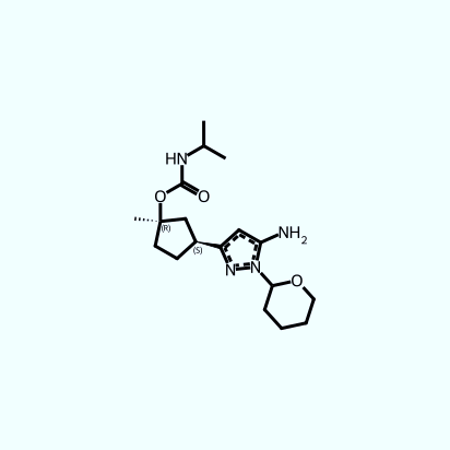 CC(C)NC(=O)O[C@]1(C)CC[C@H](c2cc(N)n(C3CCCCO3)n2)C1